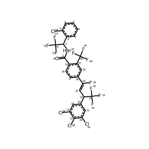 O=C(NC(c1ccccc1Cl)C(F)(F)F)c1ccc(/C(F)=C/C(c2cc(Cl)c(Cl)c(Cl)c2)C(F)(F)F)cc1C(F)(F)F